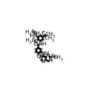 COc1c(NSC)cc(C(C)(C)C)cc1NC(=O)c1ccc(C)c(Nc2ncnc3cnc(SC)nc23)c1